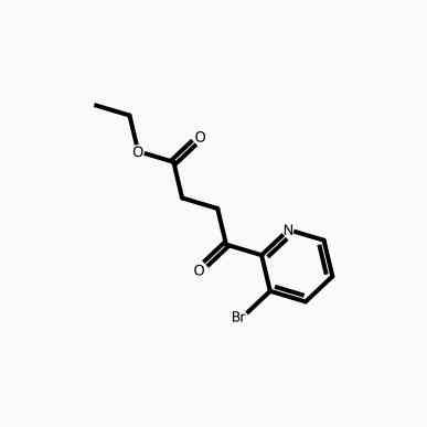 CCOC(=O)CCC(=O)c1ncccc1Br